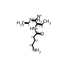 C=C/N=C(N)\C(=C/C)NC(=O)CCCN